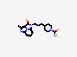 Cc1nc2cccc3n(CCCC4CCN(C(=O)C(F)(F)F)CC4)c(=O)c1n23